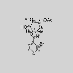 CC(=O)OC[C@H]1O[C@@H]2N=C(c3ccccc3Br)O[C@@H]2[C@@H](O)[C@@H]1OC(C)=O